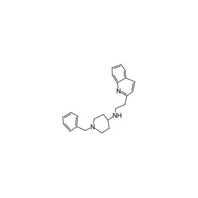 c1ccc(CN2CCC(NCCc3ccc4ccccc4n3)CC2)cc1